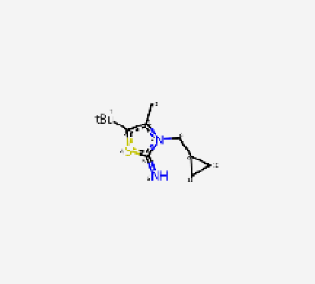 Cc1c(C(C)(C)C)sc(=N)n1CC1CC1